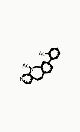 CC(=O)c1ccccc1-c1ccc2c(c1)CN(C(C)=O)c1cnccc1C=C2